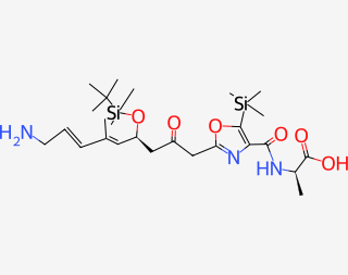 CC(/C=C/CN)=C\[C@H](CC(=O)Cc1nc(C(=O)N[C@H](C)C(=O)O)c([Si](C)(C)C)o1)O[Si](C)(C)C(C)(C)C